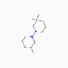 CC1CCCN(N2CCCC(C)(C)C2)C1